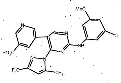 COc1cc(Cl)cc(Nc2ncc(-c3cncc(C(=O)O)c3)c(-n3nc(C(F)(F)F)cc3C)n2)c1